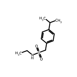 CCNS(=O)(=O)Cc1ccc(C(C)C)cc1